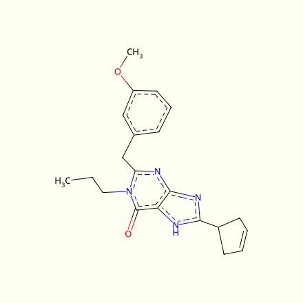 CCCn1c(Cc2cccc(OC)c2)nc2nc(C3CC=CC3)[nH]c2c1=O